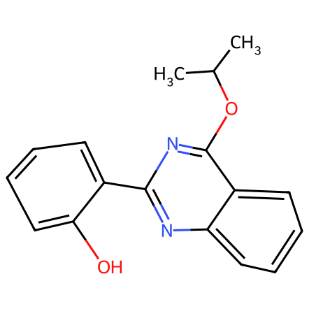 CC(C)Oc1nc(-c2ccccc2O)nc2ccccc12